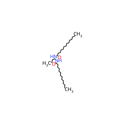 CCCCCCCCCCCCCC(=O)NC(CCC)NC(=O)CCCCCCCCCCCCC